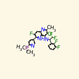 Cc1nc2cc(F)c(-c3ccc(P(C)C)nc3)nc2c(NC(c2cccc(F)c2F)C(F)F)c1Cl